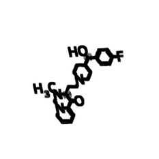 CN1CN2CC=CC=C2C(=O)[C@@H]1CCN1CCC([C@@H](O)c2ccc(F)cc2)CC1